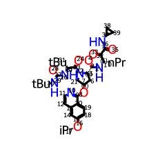 CCC[C@H](NC(=O)[C@@H]1C[C@@H](Oc2nccc3cc(OC(C)C)ccc23)CN1C(=O)[C@@H](NC(=O)NC(C)(C)C)C(C)(C)C)C(=O)C(=O)NC1CC1